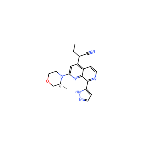 CCC(C#N)c1cc(N2CCOC[C@H]2C)nc2c(-c3ccn[nH]3)nccc12